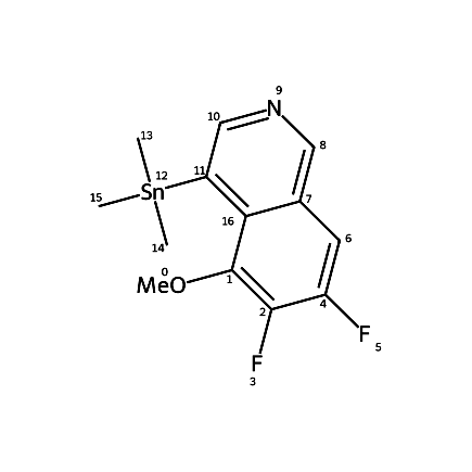 COc1c(F)c(F)cc2cnc[c]([Sn]([CH3])([CH3])[CH3])c12